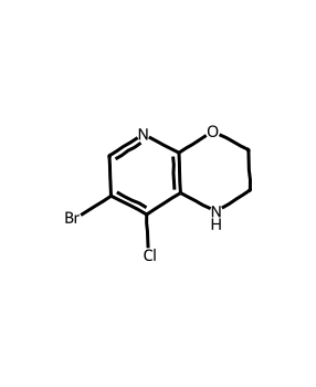 Clc1c(Br)cnc2c1NCCO2